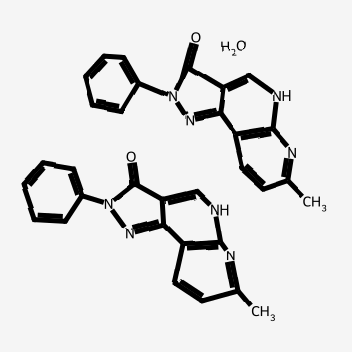 Cc1ccc2c3nn(-c4ccccc4)c(=O)c-3c[nH]c2n1.Cc1ccc2c3nn(-c4ccccc4)c(=O)c-3c[nH]c2n1.O